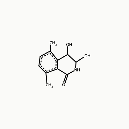 Cc1ccc(C)c2c1C(=O)NC(O)C2O